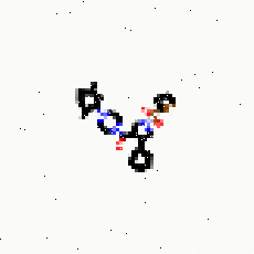 Cc1ccc(C)c(N2CCN(C(=O)C3CN(S(=O)(=O)c4cccs4)CC3c3ccccc3)CC2)c1